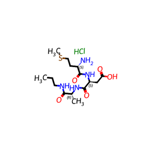 CCCNC(=O)[C@@H](C)NC(=O)[C@H](CC(=O)O)NC(=O)[C@@H](N)CCSC.Cl